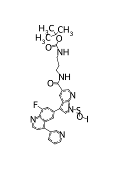 CC(C)(C)OC(=O)NCCCNC(=O)c1cnc2c(c1)c(-c1cc(F)c3nccc(-c4cccnc4)c3c1)cn2SOI